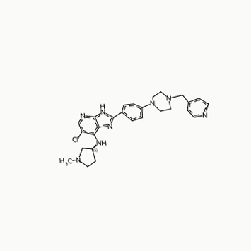 CN1CC[C@H](Nc2c(Cl)cnc3[nH]c(-c4ccc(N5CCN(Cc6ccncc6)CC5)cc4)nc23)C1